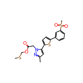 CSCOC(=O)Cn1nc(C)cc1-c1ccc(-c2cccc(S(C)(=O)=O)c2)s1